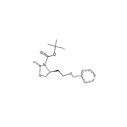 C=C1OC[C@H](CCOCc2ccccc2)N1C(=O)OC(C)(C)C